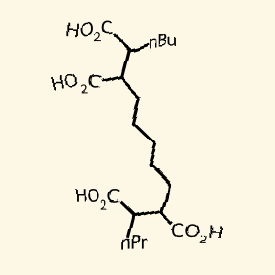 CCCCC(C(=O)O)C(CCCCCC(C(=O)O)C(CCC)C(=O)O)C(=O)O